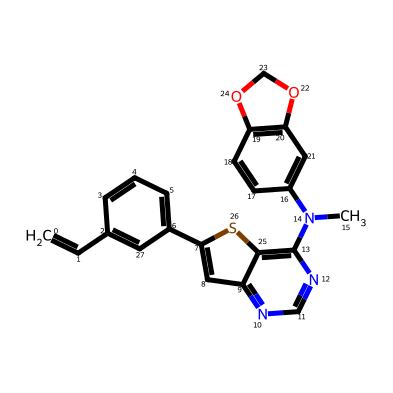 C=Cc1cccc(-c2cc3ncnc(N(C)c4ccc5c(c4)OCO5)c3s2)c1